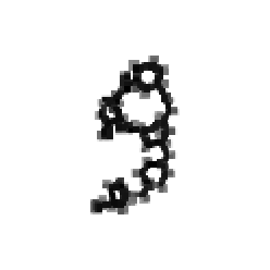 Clc1cnc2nc1Nc1cc(cc(CN3CCN(Cc4cc(Br)cs4)CC3)c1)CCc1cccc(c1)N2